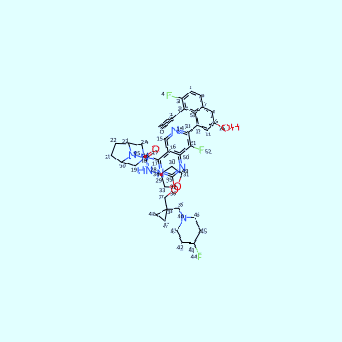 C#Cc1c(F)ccc2cc(O)cc(-c3ncc4c(N5CC6CCC(C5)N6C(=O)NC5CCOC5)nc(OCC5(CN6CCC(F)CC6)CC5)nc4c3F)c12